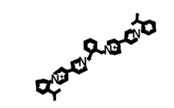 CC(C)c1ccccc1-[n+]1ccc(-c2cc[n+](Cc3ccccc3C[n+]3ccc(-c4cc[n+](-c5ccccc5C(C)C)cc4)cc3)cc2)cc1